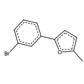 Cc1ccc(-c2cccc(Br)c2)o1